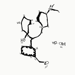 CN[C@@H]1CCN(CC(c2cccc(Cl)c2)C2(O)CCCCC2)C1.Cl.Cl